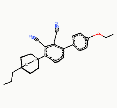 CCCC12CCC(c3ccc(-c4ccc(OCC)cc4)c(C#N)c3C#N)(CC1)CC2